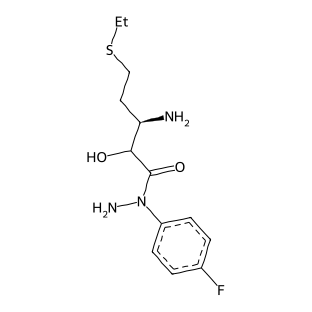 CCSCC[C@@H](N)C(O)C(=O)N(N)c1ccc(F)cc1